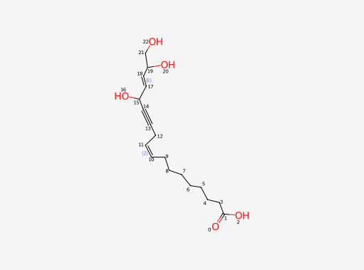 O=C(O)CCCCCCC/C=C\CC#CC(O)/C=C/C(O)CO